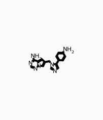 Nc1ccc(-c2cncn2Cc2cc3c(N)ncnn3c2)cc1